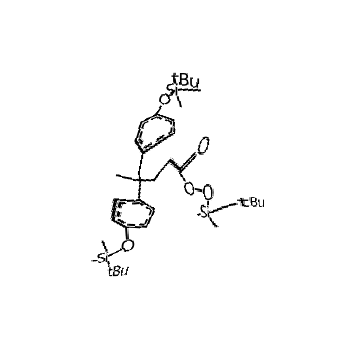 CC(CCC(=O)OO[Si](C)(C)C(C)(C)C)(c1ccc(O[Si](C)(C)C(C)(C)C)cc1)c1ccc(O[Si](C)(C)C(C)(C)C)cc1